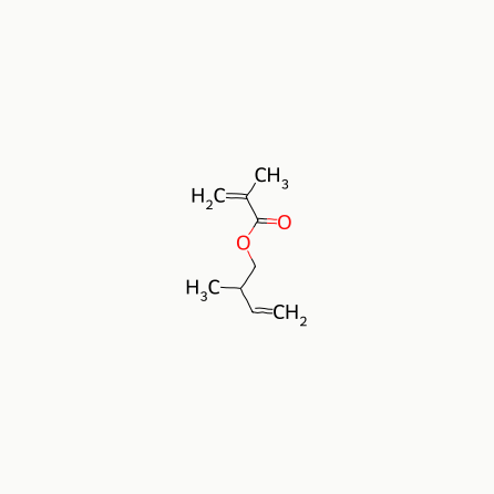 C=CC(C)COC(=O)C(=C)C